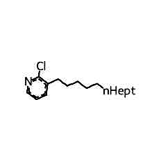 CCCCCCCCCCCCc1cccnc1Cl